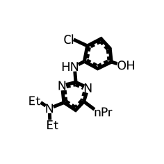 CCCc1cc(N(CC)CC)nc(Nc2cc(O)ccc2Cl)n1